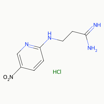 Cl.N=C(N)CCNc1ccc([N+](=O)[O-])cn1